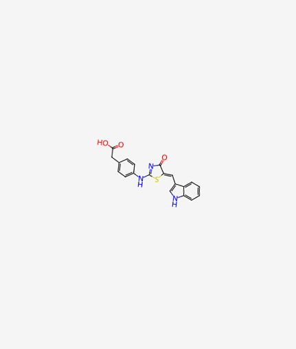 O=C(O)Cc1ccc(NC2=NC(=O)C(=Cc3c[nH]c4ccccc34)S2)cc1